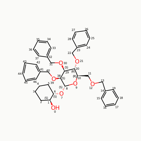 O[C@H]1CCCC[C@@H]1O[C@H]1O[C@H](COCc2ccccc2)[C@@H](OCc2ccccc2)[C@H](OCc2ccccc2)[C@@H]1OCc1ccccc1